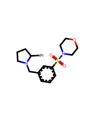 CC(C)C1CCCN1Cc1cccc(S(=O)(=O)N2CCOCC2)c1